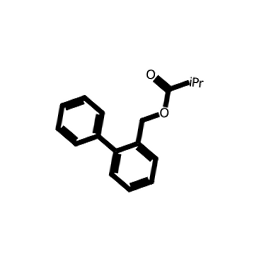 CC(C)C(=O)OCc1ccccc1-c1ccccc1